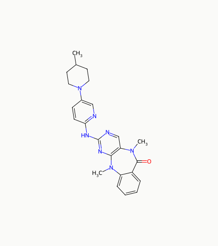 CC1CCN(c2ccc(Nc3ncc4c(n3)N(C)c3ccccc3C(=O)N4C)nc2)CC1